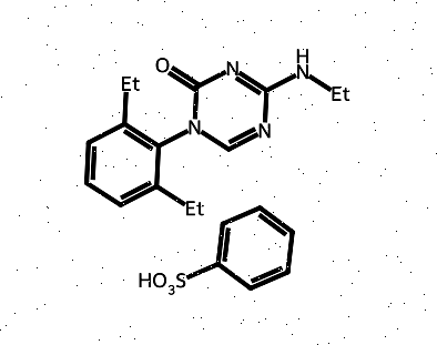 CCNc1ncn(-c2c(CC)cccc2CC)c(=O)n1.O=S(=O)(O)c1ccccc1